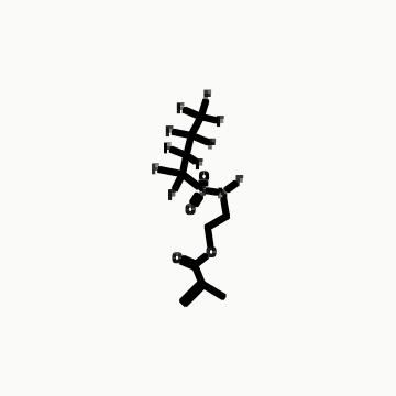 C=C(C)C(=O)OCCN(F)S(=O)(=O)C(F)(F)C(F)(F)C(F)(F)C(F)(F)F